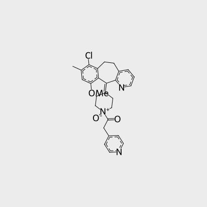 COc1cc(C)c(Cl)c2c1C(=C1CC[N+]([O-])(C(=O)Cc3ccncc3)CC1)c1ncccc1CC2